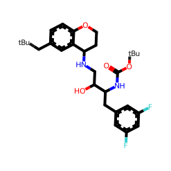 CC(C)(C)Cc1ccc2c(c1)C(NCC(O)C(Cc1cc(F)cc(F)c1)NC(=O)OC(C)(C)C)CCO2